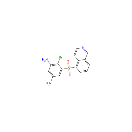 Nc1cc(N)c(Br)c(S(=O)(=O)c2cccc3cnccc23)c1